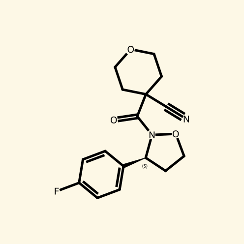 N#CC1(C(=O)N2OCC[C@H]2c2ccc(F)cc2)CCOCC1